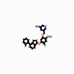 N#Cc1cncc(COc2cc(O[C@H]3CCc4c(-c5ccccc5F)cccc43)c(Cl)cc2C=O)c1